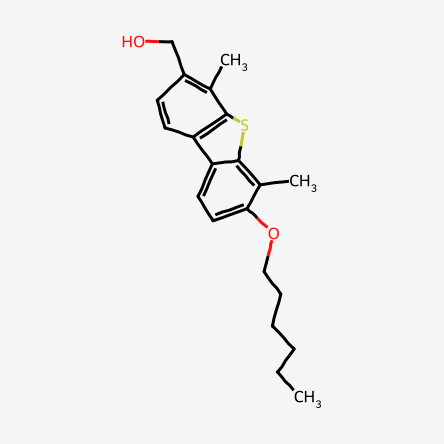 CCCCCCOc1ccc2c(sc3c(C)c(CO)ccc32)c1C